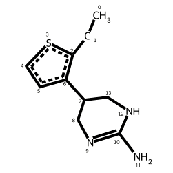 CCc1sccc1C1CN=C(N)NC1